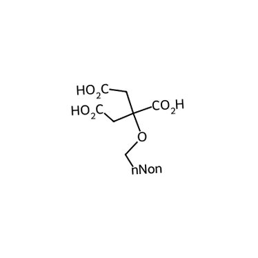 CCCCCCCCCCOC(CC(=O)O)(CC(=O)O)C(=O)O